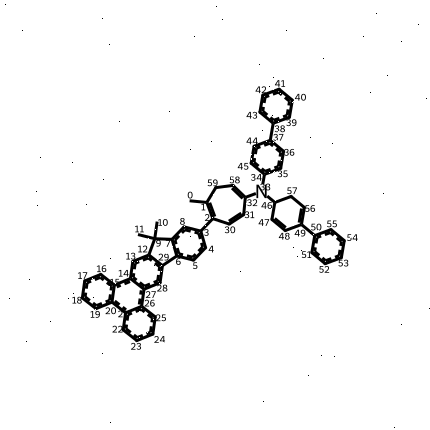 CC1=C(c2ccc3c(c2)C(C)(C)c2cc4c5ccccc5c5ccccc5c4cc2-3)C=CC(N(c2ccc(-c3ccccc3)cc2)C2C=CC(c3ccccc3)=CC2)=CC1